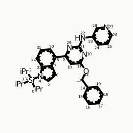 CC(C)[Si](C(C)C)(C(C)C)n1ccc2c(-c3cc(OCc4ccccc4)nc(Nc4cccnc4)n3)cccc21